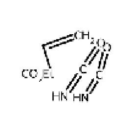 C=CC(=O)OCC.N=C=O.N=C=O